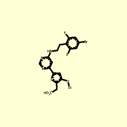 CCOc1cc(-c2cc(NCCc3c(F)cc(Br)cc3F)ncn2)sc1CC(=O)O